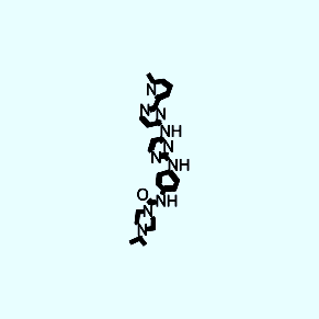 Cc1cccc(-c2nccc(Nc3ccnc(Nc4ccc(NC(=O)N5CCN(C(C)C)CC5)cc4)n3)n2)n1